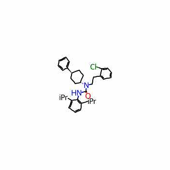 CC(C)c1cccc(C(C)C)c1NC(=O)N(CCc1ccccc1Cl)[C@H]1CC[C@H](c2ccccc2)CC1